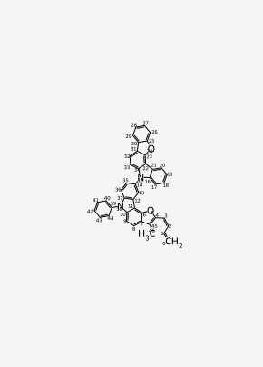 C=C/C=C\c1oc2c(ccc3c2c2cc(-n4c5ccccc5c5c6oc7ccccc7c6ccc54)ccc2n3-c2ccccc2)c1C